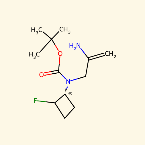 C=C(N)CN(C(=O)OC(C)(C)C)[C@@H]1CCC1F